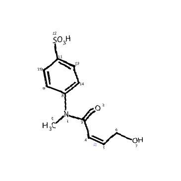 CN(C(=O)/C=C\CO)c1ccc(S(=O)(=O)O)cc1